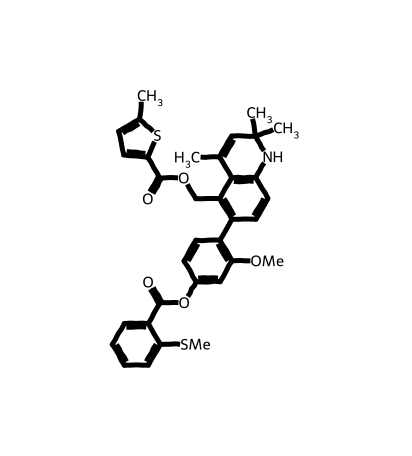 COc1cc(OC(=O)c2ccccc2SC)ccc1-c1ccc2c(c1COC(=O)c1ccc(C)s1)C(C)=CC(C)(C)N2